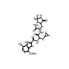 COc1ccc(Cl)c2[nH]c(C(=O)NC(CC3CC3)C(=O)NC(CC3CC(C)(C)NC3=O)C(N)=O)cc12